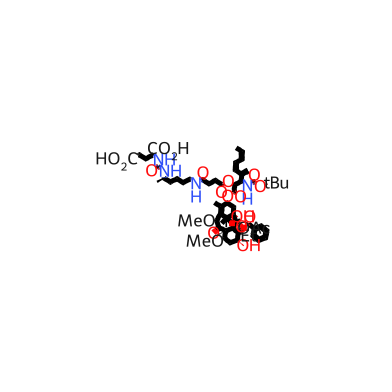 C=C(/C=C\C=C/C)[C@H](NC(=O)OC(C)(C)C)[C@@H](OC(=O)CCC(=O)NCCCC[C@@H](C)NC(=O)N[C@@H](CCC(=O)O)C(=O)O)C(=O)O[C@H]1C[C@]2(O)C(C)(C)C(=C1C)[C@@H](OC)C(=O)[C@]1(C)[C@@H](OC)C[C@@H](O)[C@](CC)(OC(C)=O)[C@H]1[C@@]2(C)OC(=O)c1ccccc1